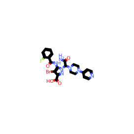 NC(=O)C(N1CCN(c2ccncc2)CC1)n1nc(C(=O)O)c(Br)c1NC(=O)c1ccccc1F